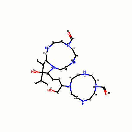 CC(C)C(O)(C(C)C)C(CCC(CO)N1CCNCCN(C=O)CCNCC1)N1CCNCCN(C=O)CCNCC1